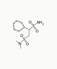 CN(C)S(=O)(=O)CC(c1ccccc1)S(N)(=O)=O